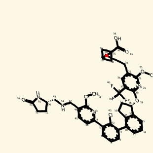 COc1nc(-c2cccc(-c3cccc4c3CC[C@@H]4Oc3nc(OC)c(CN4CC5CC4(C(=O)O)C5)cc3C(F)(F)F)c2Cl)ccc1CNC[C@@H]1CCC(=O)N1